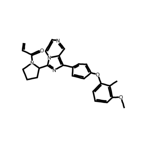 C=CC(=O)N1CCCC1c1nc(-c2ccc(Oc3cccc(OC)c3C)cc2)c2cnccn12